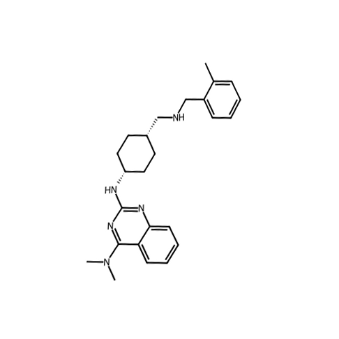 Cc1ccccc1CNC[C@H]1CC[C@@H](Nc2nc(N(C)C)c3ccccc3n2)CC1